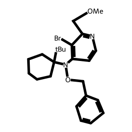 COCc1nccc(N(OCc2ccccc2)C2(C(C)(C)C)CCCCC2)c1Br